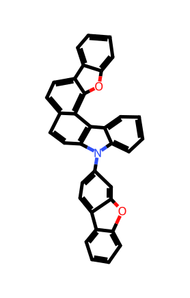 c1ccc2c(c1)oc1cc(-n3c4ccccc4c4c5c(ccc6c7ccccc7oc65)ccc43)ccc12